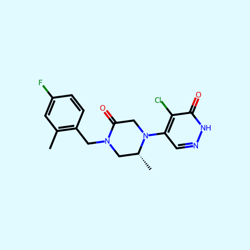 Cc1cc(F)ccc1CN1C[C@@H](C)N(c2cn[nH]c(=O)c2Cl)CC1=O